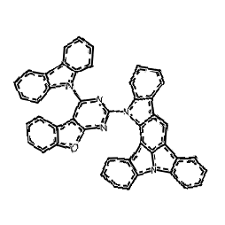 c1ccc2c(c1)oc1nc(-n3c4ccccc4c4cc5c6ccccc6n6c7ccccc7c(c43)c56)nc(-n3c4ccccc4c4ccccc43)c12